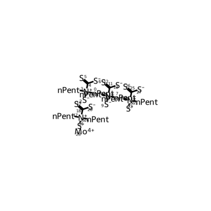 CCCCC[N+]([S-])(CCCCC)C(=S)[S-].CCCCC[N+]([S-])(CCCCC)C(=S)[S-].CCCCC[N+]([S-])(CCCCC)C(=S)[S-].CCCCC[N+]([S-])(CCCCC)C(=S)[S-].[Mo+4]